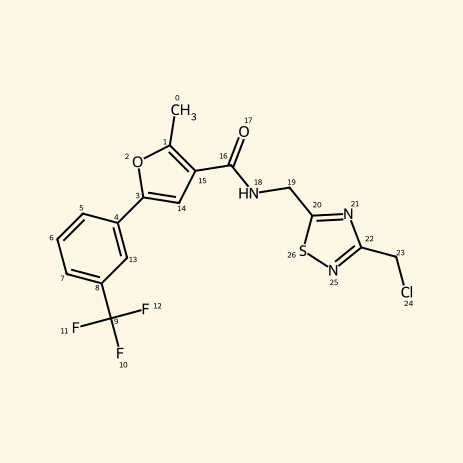 Cc1oc(-c2cccc(C(F)(F)F)c2)cc1C(=O)NCc1nc(CCl)ns1